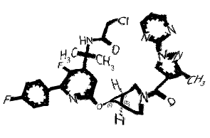 Cc1nn(-c2ncccn2)cc1C(=O)N1C[C@@H]2[C@H](C1)[C@@H]2Oc1cc(C(C)(C)NC(=O)CCl)c(F)c(-c2ccc(F)cc2)n1